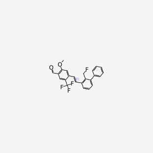 COc1cc(/C=C/c2cccc(-c3ccccc3)c2CF)c(C(F)(F)F)cc1C=O